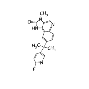 Cn1c(=O)[nH]c2c3cc(C(C)(C)c4ccc(F)nc4)ccc3ncc21